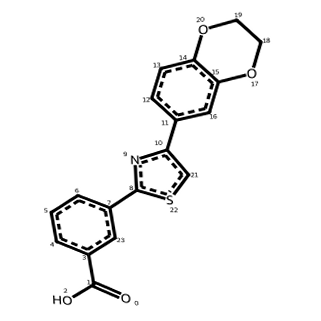 O=C(O)c1cccc(-c2nc(-c3ccc4c(c3)OCCO4)cs2)c1